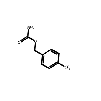 NC(=O)OCc1ccc(C(F)(F)F)cc1